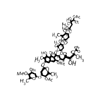 CCCC(=O)O[C@H](C)[C@H](O)C(=O)[C@@H](OC)[C@@H]1Cc2cc3cc(O[C@H]4C[C@@H](O[C@H]5C[C@@H](O)[C@@H](OC)C(C)O5)[C@@H](OC(C)=O)C(C)O4)c(C)c(O)c3c(O)c2C(=O)[C@H]1O[C@H]1C[C@@H](O[C@H]2C[C@@H](O[C@H](O)C[C@@](C)(O)[C@H](CC)OC(C)=O)[C@H](O)C(C)O2)[C@H](O)C(C)O1